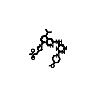 COC1CCN(c2nncc(Nc3cc4c(C(C)C)ccc(N5CC(CS(C)(=O)=O)C5)c4cn3)n2)CC1